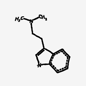 CN(C)CCC1=C[N]c2ccccc21